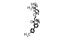 Cc1ccc(-c2ccc3nnn(CCOc4nccc(/C(N)=N/O)n4)c(=O)c3c2)cc1